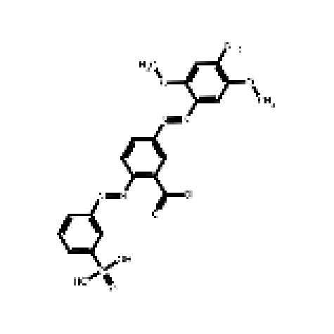 COc1cc(N=Nc2ccc(N=Nc3cccc(P(=O)(O)O)c3)c(C(=O)O)c2)c(OC)cc1N